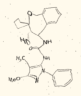 COc1nn(-c2ccccc2)c(NC(=O)NC2c3ccccc3OC3(CCC3)[C@H]2O)c1C